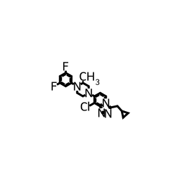 C[C@H]1CN(c2ccn3c(CC4CC4)nnc3c2Cl)CCN1c1cc(F)cc(F)c1